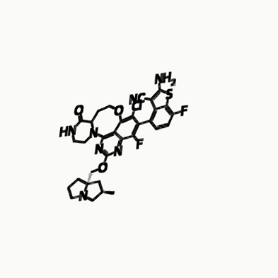 C[C@H]1CN2CCC[C@@]2(COc2nc3c4c(c(Cl)c(-c5ccc(F)c6sc(N)c(C#N)c56)c(F)c4n2)OCCC2C(=O)NCCN32)C1